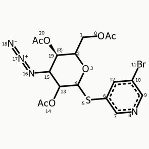 CC(=O)OCC1OC(Sc2cncc(Br)c2)C(OC(C)=O)C(N=[N+]=[N-])[C@H]1OC(C)=O